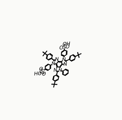 CC(C)(C)c1ccc(-c2nc3c(c4nc(-c5ccc(C(C)(C)C)cc5)n(-c5ccc(S(=O)(=O)O)cc5)c4c4nc(-c5ccc(C(C)(C)C)cc5)n(-c5ccc(S(=O)(=O)O)cc5)c34)n2-c2ccccc2)cc1